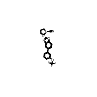 N#CN1CCC[C@H]1c1nc2cc(-c3cccc(OC(F)(F)F)c3)ccc2o1